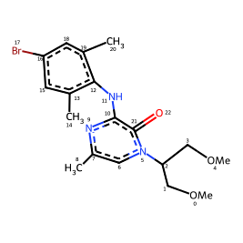 COCC(COC)n1cc(C)nc(Nc2c(C)cc(Br)cc2C)c1=O